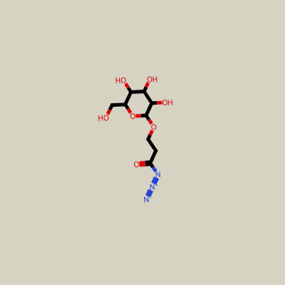 [N-]=[N+]=NC(=O)CCOC1OC(CO)C(O)C(O)C1O